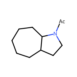 CC(=O)N1CCC2CCCCCC21